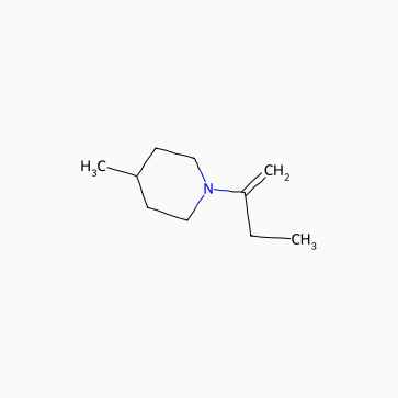 C=C(CC)N1CCC(C)CC1